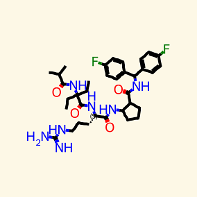 CCC(CC)(NC(=O)C(C)C)C(=O)N[C@@H](CCCNC(=N)N)C(=O)NC1CCCC1C(=O)NC(c1ccc(F)cc1)c1ccc(F)cc1